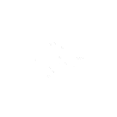 CNC(=O)CNc1nc(-c2cnn3cccnc23)cc2c1cnn2-c1cc(Cl)ccc1OC